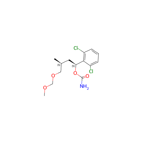 COCOC[C@@H](C)C[C@H](OC(N)=O)c1c(Cl)cccc1Cl